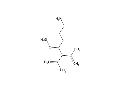 C=C(C)C(C(=C)C)C(CCCN)O[SiH3]